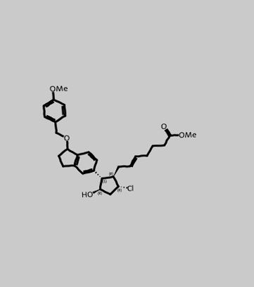 COC(=O)CCCC=CC[C@@H]1[C@@H](c2ccc3c(c2)CCC3OCc2ccc(OC)cc2)[C@H](O)C[C@H]1Cl